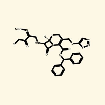 CO/N=C(/CN[C@@H]1C(=O)N2C(C(=O)OC(c3ccccc3)c3ccccc3)=C(CSc3cnns3)CS[C@H]12)C(=O)CCl